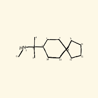 CNC(C)(C)C1CCC2(CCCC2)CC1